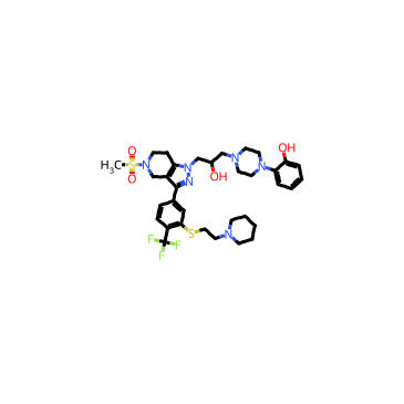 CS(=O)(=O)N1CCc2c(c(-c3ccc(C(F)(F)F)c(SCCN4CCCCC4)c3)nn2CC(O)CN2CCN(c3ccccc3O)CC2)C1